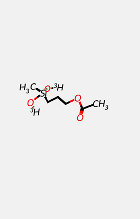 [3H]O[Si](C)(CCCOC(C)=O)O[3H]